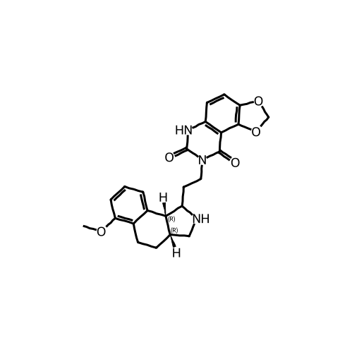 COc1cccc2c1CC[C@H]1CNC(CCn3c(=O)[nH]c4ccc5c(c4c3=O)OCO5)[C@@H]21